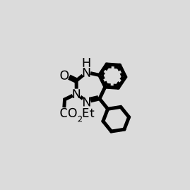 CCOC(=O)CN1N=C(C2CCCCC2)c2ccccc2NC1=O